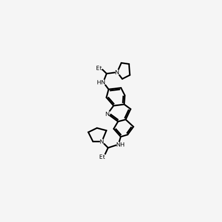 CCC(Nc1ccc2cc3ccc(NC(CC)N4CCCC4)cc3nc2c1)N1CCCC1